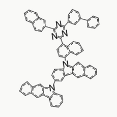 c1ccc(-c2cccc(-c3nc(-c4ccc5ccccc5c4)nc(-c4ccc(-n5c6ccc(-n7c8ccccc8c8cc9ccccc9cc87)cc6c6cc7ccccc7cc65)c5ccccc45)n3)c2)cc1